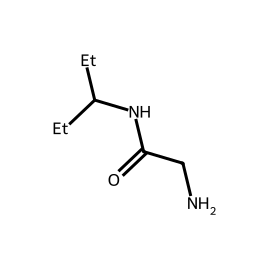 CCC(CC)NC(=O)CN